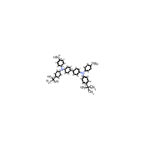 CCCCc1ccc(N(c2ccc(-c3ccc(N(c4ccc(CCCC)cc4)c4ccc(C(C)(CCC)CCC)cc4)cc3)cc2)c2ccc(C(C)(C)CCC)cc2)cc1